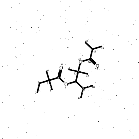 CCC(C)(C)C(=O)OC(C(C)C)C(C)(C)OC(=O)C(C)C